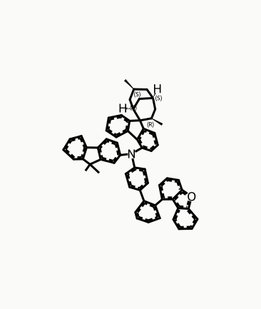 C[C@H]1C[C@@H]2C[C@H](C1)C1(c3ccccc3-c3c(N(c4ccc(-c5ccccc5-c5cccc6oc7ccccc7c56)cc4)c4ccc5c(c4)C(C)(C)c4ccccc4-5)cccc31)[C@H](C)C2